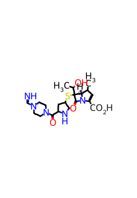 CC1C=C(C(=O)O)N2C(=O)C(SC3CNC(C(=O)N4CCN(C=N)CC4)C3)(C(C)O)[C@H]12